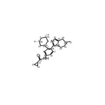 C[C@@H]1C[C@H](C)CN(c2cc(NC(=O)C3CC3)ccc2-c2ncc3n2CCN(C)C3)C1